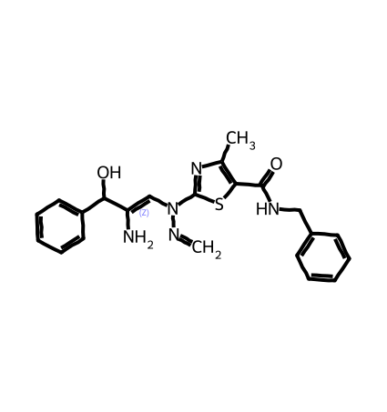 C=NN(/C=C(\N)C(O)c1ccccc1)c1nc(C)c(C(=O)NCc2ccccc2)s1